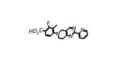 Cc1c(N2CCc3nc(-c4ccccn4)ncc3C2)ccc(C(=O)O)c1F